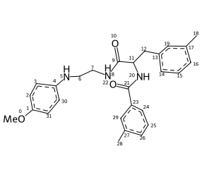 COc1ccc(NCCNC(=O)C(Cc2cccc(C)c2)NC(=O)c2cccc(C)c2)cc1